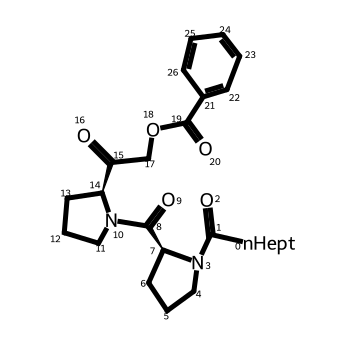 CCCCCCCC(=O)N1CCC[C@H]1C(=O)N1CCC[C@H]1C(=O)COC(=O)c1ccccc1